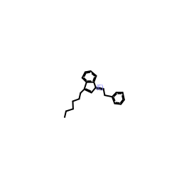 CCCCCCC1=C/C(=C\Cc2ccccc2)c2ccccc21